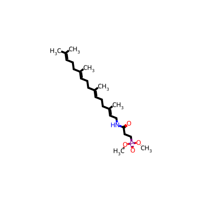 COP(=O)(CCC(=O)NC/C=C(\C)CC/C=C(\C)CC/C=C(\C)CCC=C(C)C)OC